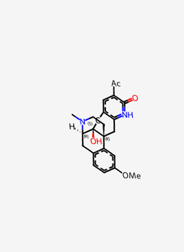 COc1ccc2c(c1)[C@]13CCN(C)[C@H](C2)[C@]1(O)Cc1cc(C(C)=O)c(=O)[nH]c1C3